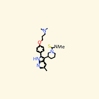 CNC(=S)N1CCCC(c2c(-c3ccc(OCCCN(C)C)cc3)[nH]c3ncc(C)cc23)C1